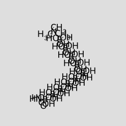 CN(C)C.N=C=O.OB(O)O.OB(O)O.OB(O)O.OB(O)O.OB(O)O.OB(O)O.OB(O)O.OB(O)O.OB(O)O.OB(O)O